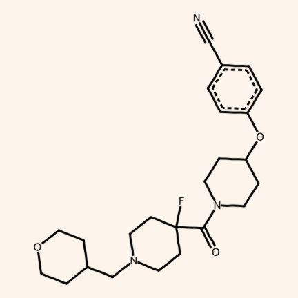 N#Cc1ccc(OC2CCN(C(=O)C3(F)CCN(CC4CCOCC4)CC3)CC2)cc1